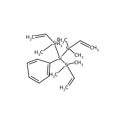 C=C[Si](C)(C)[Si](c1ccccc1)([Si](C)(C)C=C)[Si](C)(C)C=C